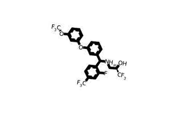 O[C@H](CNC(c1cccc(Oc2cccc(OC(F)(F)F)c2)c1)c1ccc(C(F)(F)F)cc1F)C(F)(F)F